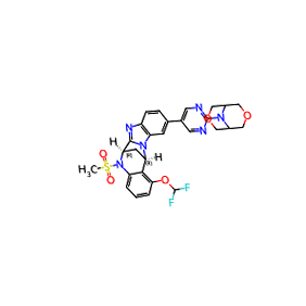 CS(=O)(=O)N1c2cccc(OC(F)F)c2[C@H]2C[C@@H]1c1nc3ccc(-c4cnc(N5C6COCC5COC6)nc4)cc3n12